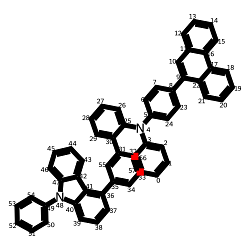 c1ccc(N(c2ccc(-c3cc4ccccc4c4ccccc34)cc2)c2ccccc2-c2cccc(-c3cccc4c3c3ccccc3n4-c3ccccc3)c2)cc1